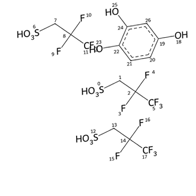 O=S(=O)(O)CC(F)(F)C(F)(F)F.O=S(=O)(O)CC(F)(F)C(F)(F)F.O=S(=O)(O)CC(F)(F)C(F)(F)F.Oc1ccc(O)c(O)c1